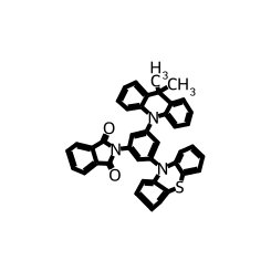 CC1(C)c2ccccc2N(c2cc(N3C(=O)c4ccccc4C3=O)cc(N3c4ccccc4Sc4ccccc43)c2)c2ccccc21